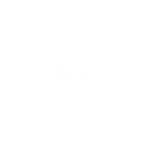 CCCc1cc(Cl)nnc1CN1C=CC=C=C1c1cccc(F)n1